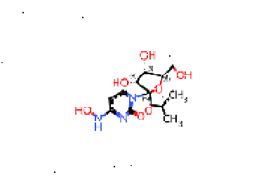 CC(C)C(=O)[C@@]1(n2ccc(NO)nc2=O)O[C@H](CO)[C@@H](O)[C@H]1O